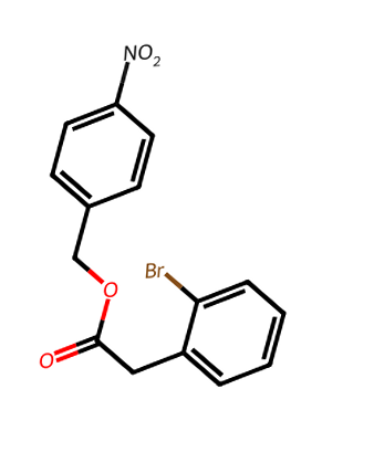 O=C(Cc1ccccc1Br)OCc1ccc([N+](=O)[O-])cc1